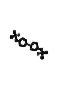 O=S(=O)(F)Oc1ccc(-c2ccc(OS(=O)(=O)F)cc2)cc1